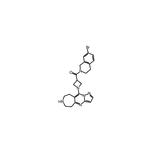 O=C(C1CN(c2c3c(nc4ccnn24)CCNCC3)C1)N1CCc2ccc(Br)cc2C1